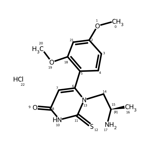 COc1ccc(-c2cc(=O)[nH]c(=S)n2C[C@@H](C)N)c(OC)c1.Cl